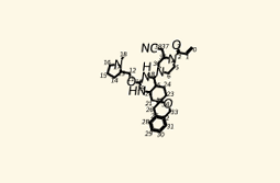 C=CC(=O)N1CCN(C2NC(OCC3CCCN3C)NC3C[C@]4(CCC32)Cc2ccccc2CO4)CC1CC#N